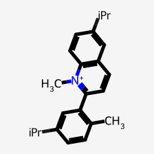 Cc1ccc(C(C)C)cc1-c1ccc2cc(C(C)C)ccc2[n+]1C